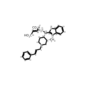 C[C@@H]1CN(CC=Cc2ccccc2)CC[C@@H]1N(C)c1nc2ccccc2s1.O=C(O)C=CC(=O)O